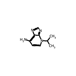 CC(C)n1ccc(N)c2ncnc1-2